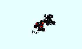 CSc1cc2c3c(c1)c1ccccc1n3-c1cc3c(oc4ccccc43)c3c1B2n1c2ccc(-c4cccc5c4oc4cc6c7c(c45)-c4cccc5c8ccccc8n(c45)B7c4cc(C)cc5c7ccccc7n-6c45)cc2c2cccc-3c21